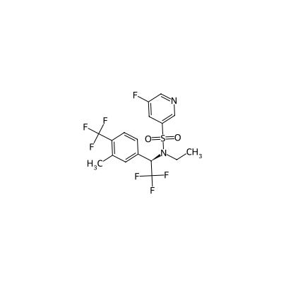 CCN([C@H](c1ccc(C(F)(F)F)c(C)c1)C(F)(F)F)S(=O)(=O)c1cncc(F)c1